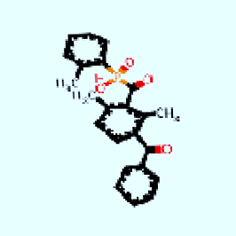 Cc1ccccc1P(=O)(O)C(=O)c1c(C)ccc(C(=O)c2ccccc2)c1C